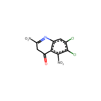 O=C1CC([N+](=O)[O-])=Nc2cc(Cl)c(Cl)c([N+](=O)[O-])c21